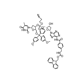 COc1ccc(C(OC[C@H]2O[C@@H](n3cc(C)c(=O)[nH]c3=O)C[C@H]2OP(=O)(OCCC#N)OC[C@H]2O[C@@H](n3cnc4c(NC(=O)c5ccc(CNC(=O)OCC6c7ccccc7-c7ccccc76)cc5)ncnc43)C[C@H]2O)(c2ccccc2)c2ccc(OC)cc2)cc1